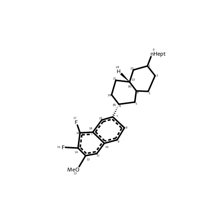 CCCCCCCC1CCC2C[C@H](c3ccc4cc(OC)c(F)c(F)c4c3)CC[C@@H]2C1